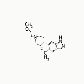 COCCN1CC[C@H](c2cc3[nH]ncc3cc2C)[C@H](F)C1